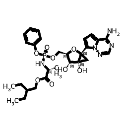 CCC(CC)COC(=O)[C@@H](C)NP(=O)(OC[C@H]1O[C@]2(c3ccc4c(N)ncnn34)C[C@@]2(O)[C@@H]1O)Oc1ccccc1